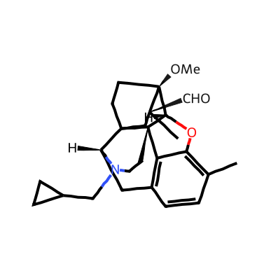 CO[C@]12CCC3(C[C@]1(C)C=O)[C@H]1Cc4ccc(C)c5c4[C@@]3(CCN1CC1CC1)[C@H]2O5